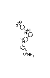 C[C@H]1CN(c2cccc3[nH]c(-c4ccc(S(C)(=O)=O)cc4)nc23)CCN1Cc1cn(CC(N)=O)cn1